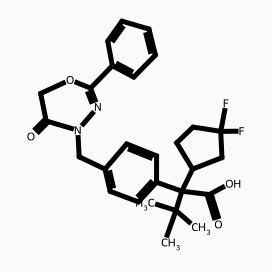 CC(C)(C)C(C(=O)O)(c1ccc(CN2N=C(c3ccccc3)OCC2=O)cc1)C1CCC(F)(F)C1